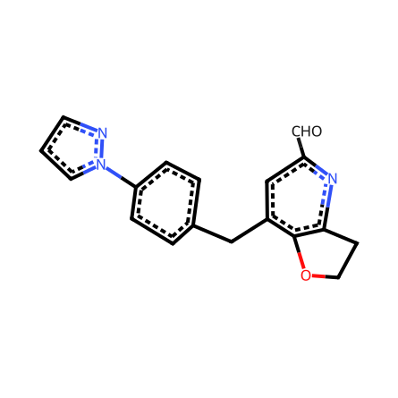 O=Cc1cc(Cc2ccc(-n3cccn3)cc2)c2c(n1)CCO2